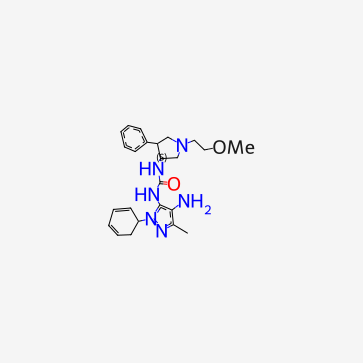 COCCN1CC(c2ccccc2)[C@H](NC(=O)Nc2c(N)c(C)nn2C2C=CC=CC2)C1